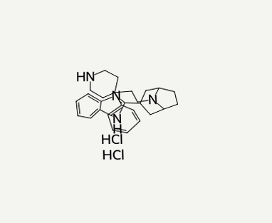 Cl.Cl.c1ccc(C2(CCN3C4CCC3CC(c3nc5ccccc5[nH]3)C4)CCNCC2)cc1